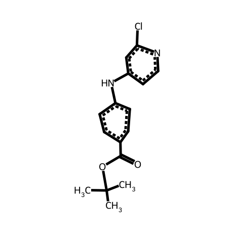 CC(C)(C)OC(=O)c1ccc(Nc2ccnc(Cl)c2)cc1